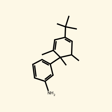 CC1=CC(C(C)(C)C)=CC(C)C1(C)c1cccc(N)c1